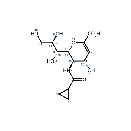 O=C(O)C1=C[C@H](O)[C@@H](NC(=O)C2CC2)[C@H]([C@H](O)[C@H](O)CO)O1